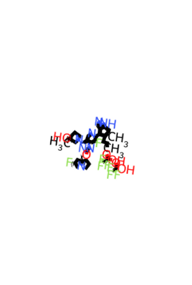 CCCc1c(C)cc2[nH]ncc2c1-c1ncc2c(N3CCC[C@@](C)(O)C3)nc(OC[C@@]34CCCN3C[C@H](F)C4)nc2c1F.O=C(O)C(F)(F)F.O=C(O)C(F)(F)F